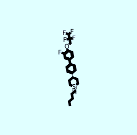 CCCCC[Si@H]1CC[C@H](c2ccc(-c3ccc(OCC(F)(F)C(F)F)c(F)c3)cc2)CC1